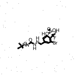 CC(C)(C)ONC(=O)NNCc1ccc(C(F)(F)P(=O)(O)O)c(Br)c1